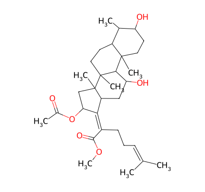 COC(=O)/C(CCC=C(C)C)=C1\C(OC(C)=O)CC2(C)C1CC(O)C1C3(C)CCC(O)C(C)C3CCC12C